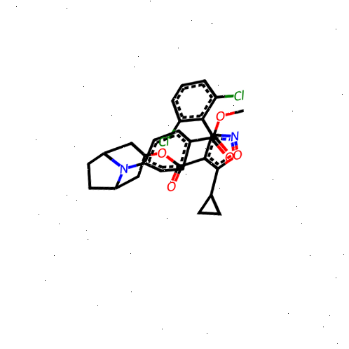 COC(=O)c1ccc(N2C3CCC2CC(OC(=O)c2c(-c4c(Cl)cccc4Cl)noc2C2CC2)C3)cc1